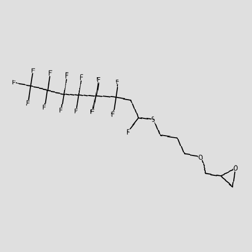 FC(CC(F)(F)C(F)(F)C(F)(F)C(F)(F)C(F)(F)C(F)(F)F)SCCCOCC1CO1